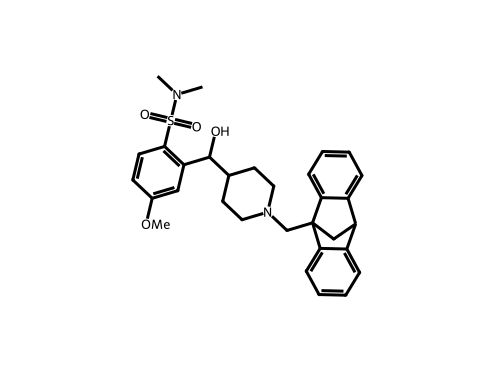 COc1ccc(S(=O)(=O)N(C)C)c(C(O)C2CCN(CC34CC(c5ccccc53)c3ccccc34)CC2)c1